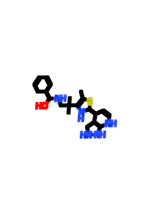 CC1=C(C(C)(C)CNC(O)C2C=CC=CC2)NC(C2C=CNC3NNCC32)S1